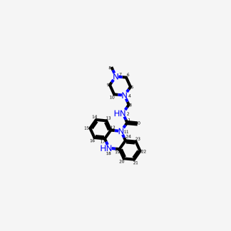 C=C(NCN1CCN(C)CC1)N1c2ccccc2Nc2ccccc21